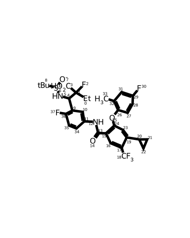 CCC(F)(C(=O)O)C(N[S+]([O-])C(C)(C)C)c1cc(NC(=O)c2cc(C(F)(F)F)c(C3CC3)cc2Oc2ccc(F)cc2C)ccc1F